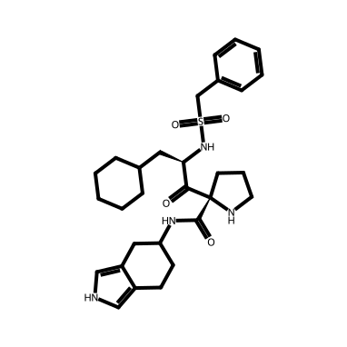 O=C(NC1CCc2c[nH]cc2C1)[C@@]1(C(=O)[C@@H](CC2CCCCC2)NS(=O)(=O)Cc2ccccc2)CCCN1